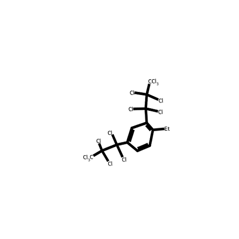 [CH2]Cc1ccc(C(Cl)(Cl)C(Cl)(Cl)C(Cl)(Cl)Cl)cc1C(Cl)(Cl)C(Cl)(Cl)C(Cl)(Cl)Cl